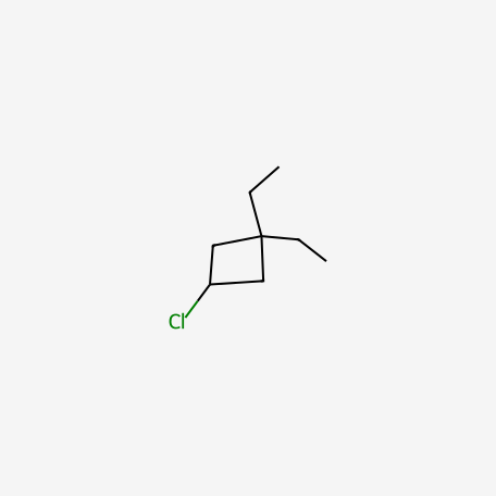 CCC1(CC)CC(Cl)C1